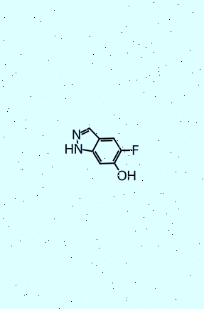 Oc1cc2[nH]ncc2cc1F